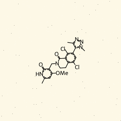 COc1cc(C)[nH]c(=O)c1CN1CCc2c(Cl)cc(-c3c(C)nnn3C)c(Cl)c2C1=O